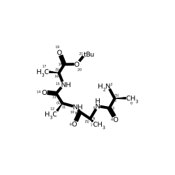 C[C@H](N)C(=O)N[C@@H](C)C(=O)N[C@@H](C)C(=O)N[C@@H](C)C(=O)OC(C)(C)C